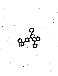 c1ccc(-c2cc(-c3ccc(-c4ccnc5ccccc45)cc3)c3cc(-c4ccccc4)c4ccccc4c3n2)cc1